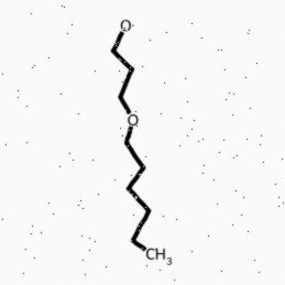 CCCCCCOCCC[O]